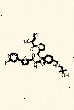 CC(C)C=C(C#N)C(=O)N1CCCC1Cn1c(NC(=O)c2ccc(-c3ccnc(F)c3)s2)nc2cc(CNCC(C)(C)O)ccc21